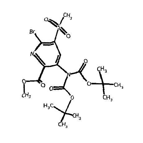 COC(=O)c1nc(Br)c(S(C)(=O)=O)cc1N(C(=O)OC(C)(C)C)C(=O)OC(C)(C)C